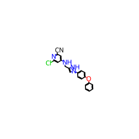 N#Cc1cc(NCc2cn(-c3ccc(Oc4ccccc4)cc3)[nH]2)cc(Cl)n1